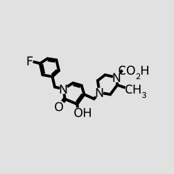 CC1CN(Cc2ccn(Cc3cccc(F)c3)c(=O)c2O)CCN1C(=O)O